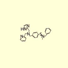 CN(Cc1ccccc1)Sc1ccc(CN(Cc2ccccn2)Cc2ncc[nH]2)cc1